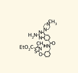 CCOC(=O)c1sc(Oc2cccc(CNC(=O)c3ccc4c(N5CCN(C)CC5)nc(N)nc4c3)c2)nc1C